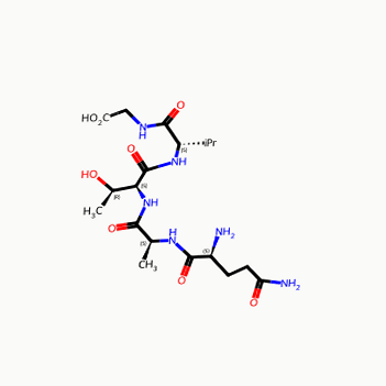 CC(C)[C@H](NC(=O)[C@@H](NC(=O)[C@H](C)NC(=O)[C@@H](N)CCC(N)=O)[C@@H](C)O)C(=O)NCC(=O)O